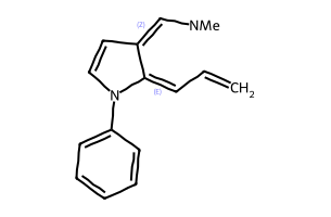 C=C/C=c1\c(=C/NC)ccn1-c1ccccc1